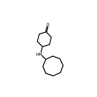 O=C1CCC(NC2CCCCCCC2)CC1